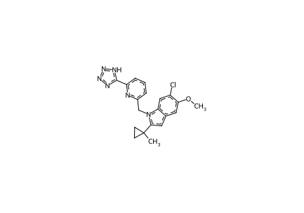 COc1cc2cc(C3(C)CC3)n(Cc3cccc(-c4nnn[nH]4)n3)c2cc1Cl